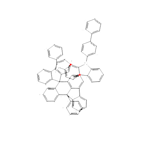 c1ccc(-c2ccc(-n3c4ccccc4c4ccc(N(c5ccccc5)c5ccccc5C5(c6ccccc6)c6ccccc6C6(c7ccccc7)c7ccccc7-c7cccc5c76)cc43)cc2)cc1